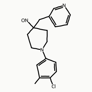 Cc1cc(N2CCC(Cc3cccnc3)(N=O)CC2)ccc1Cl